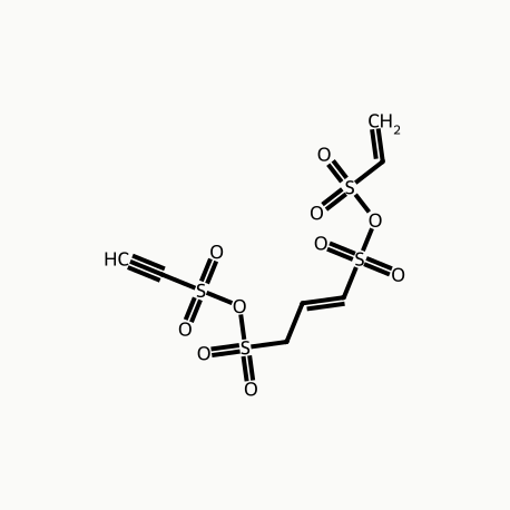 C#CS(=O)(=O)OS(=O)(=O)C/C=C/S(=O)(=O)OS(=O)(=O)C=C